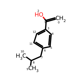 C=C(O)c1ccc(CC(C)C)cc1